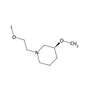 CO[C@H]1CCCN(CCOI)C1